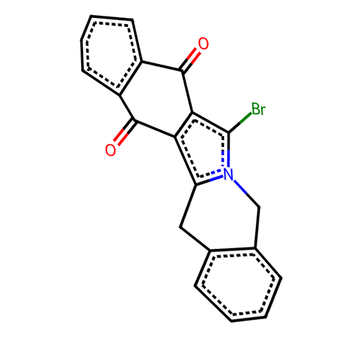 O=C1c2ccccc2C(=O)c2c1c(Br)n1c2Cc2ccccc2C1